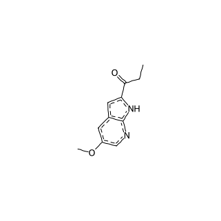 CCC(=O)c1cc2cc(OC)cnc2[nH]1